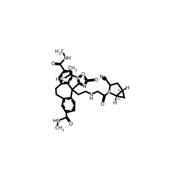 CNC(=O)c1ccc2c(c1)CCc1cc(C(=O)NC)ccc1C2(CCNCC(=O)N1C(C#N)C[C@@H]2C[C@@H]21)c1nc(=O)on1C(C)C